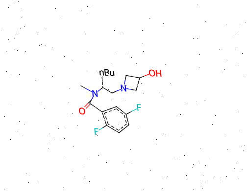 CCCCC(CN1CC(O)C1)N(C)C(=O)c1cc(F)ccc1F